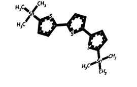 [CH3][Sn]([CH3])([CH3])[c]1ccc(-c2ccc(-c3cc[c]([Sn]([CH3])([CH3])[CH3])s3)s2)s1